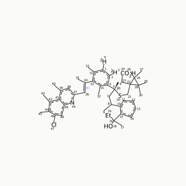 [2H]c1c([2H])c([C@@](C)(CC(C)c2ccccc2C(C)(O)CC)SCC2(CC(=O)O)C(C)(C)C2(C)C)c(C)c(/C(C)=C/c2cc(C)c3c(C)c(C)c(Cl)cc3n2)c1C